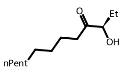 CCCCCCCCCC(=O)[C@H](O)CC